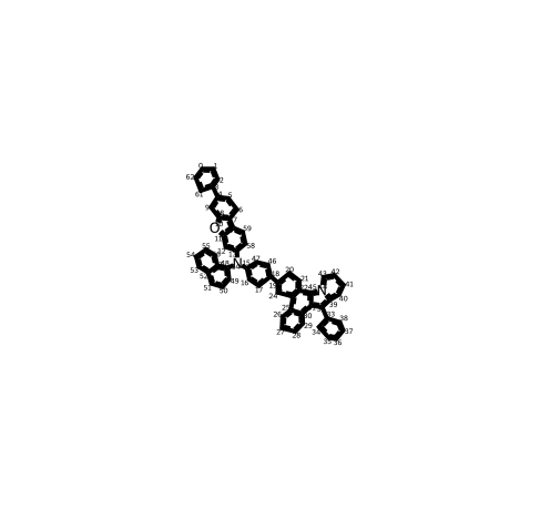 c1ccc(-c2ccc3c(c2)oc2cc(N(c4ccc(-c5ccc6c(c5)c5ccccc5c5c(-c7ccccc7)c7ccccn7c65)cc4)c4cccc5ccccc45)ccc23)cc1